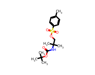 Cc1ccc(S(=O)(=O)OCC(C)(C)NC(=O)OC(C)(C)C)cc1